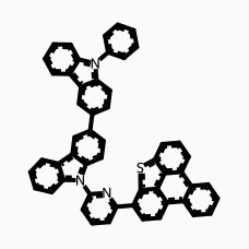 c1ccc(-n2c3ccccc3c3cc(-c4ccc5c(c4)c4ccccc4n5-c4cccc(-c5ccc6c7ccccc7c7cccc8sc5c6c87)n4)ccc32)cc1